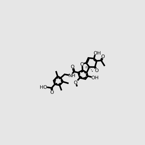 COc1cc(O)c2c(c1C(=O)NCc1c(C)cc(C(=O)O)c(C)c1C)OC1=CC(O)=C(C(C)=O)C(=O)[C@]12C